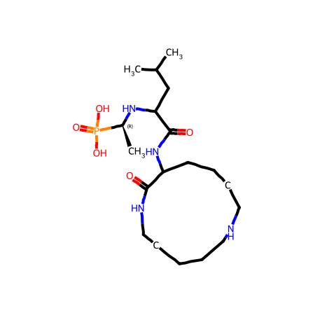 CC(C)CC(N[C@@H](C)P(=O)(O)O)C(=O)NC1CCCCNCCCCCNC1=O